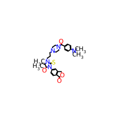 CN(C)c1ccc(C(=O)N2CCN(CCCN3C(=S)N(c4ccc5c(c4)COC5=O)C(=O)C3(C)C)CC2)cc1